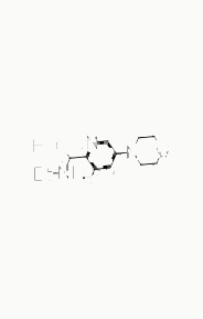 CCNC(C)c1ncc(N2CCOCC2)cc1F